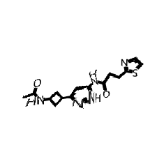 CC(=O)NC1CC(c2cc(NC(=O)CCc3nccs3)[nH]n2)C1